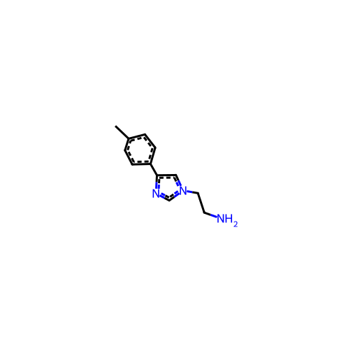 Cc1ccc(-c2cn(CCN)cn2)cc1